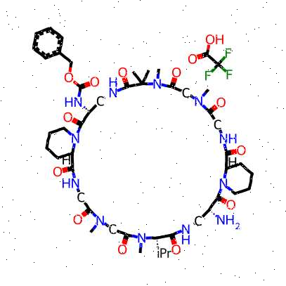 CC(C)[C@H]1C(=O)NC[C@@H](N)C(=O)N2CCCC[C@H]2C(=O)NCC(=O)N(C)CC(=O)N(C)C(C)(C)C(=O)NC[C@@H](NC(=O)OCc2ccccc2)C(=O)N2CCCC[C@H]2C(=O)NCC(=O)N(C)CC(=O)N1C.O=C(O)C(F)(F)F